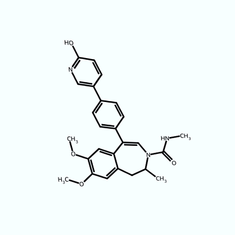 CNC(=O)N1C=C(c2ccc(-c3ccc(O)nc3)cc2)c2cc(OC)c(OC)cc2CC1C